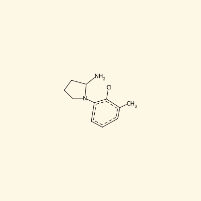 Cc1cccc(N2CCCC2N)c1Cl